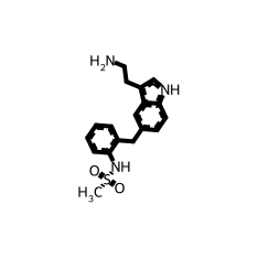 CS(=O)(=O)Nc1ccccc1Cc1ccc2[nH]cc(CCN)c2c1